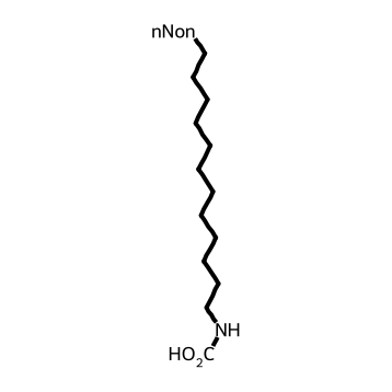 CCCCCCCCCCCCCCCCCCCCCNC(=O)O